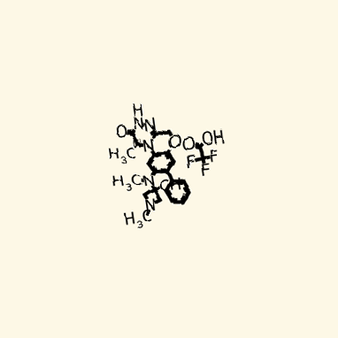 C[C@H]1C(=O)NN=C2COc3cc(-c4ccccc4)c(N(C)C4(C)CN(C)C4)cc3N21.O=C(O)C(F)(F)F